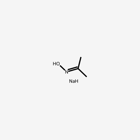 CC(C)=NO.[NaH]